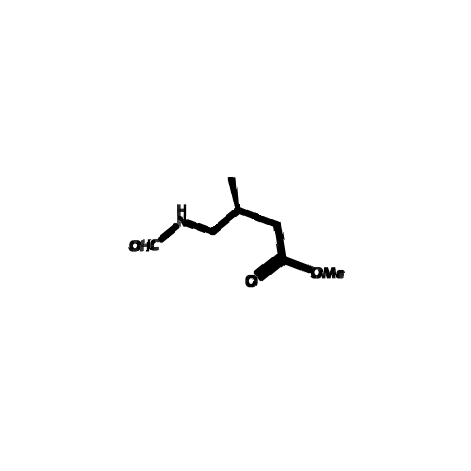 COC(=O)C[C@H](C)CNC=O